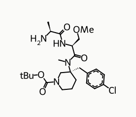 COC[C@H](NC(=O)[C@H](C)N)C(=O)N(C)[C@@]1(Cc2ccc(Cl)cc2)CCCN(C(=O)OC(C)(C)C)C1